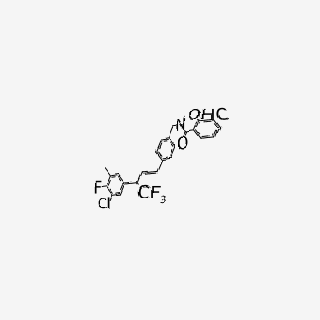 Cc1cc(C(/C=C/c2ccc(CN(C)C(=O)c3ccccc3C=O)cc2)C(F)(F)F)cc(Cl)c1F